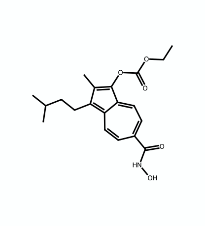 CCOC(=O)Oc1c2ccc(C(=O)NO)ccc-2c(CCC(C)C)c1C